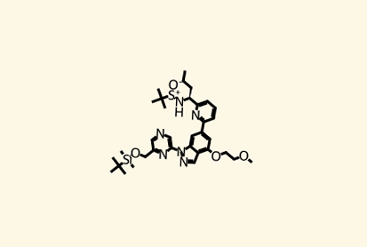 CCC[C@H](N[S+]([O-])C(C)(C)C)c1cccc(-c2cc(OCCOC)c3cnn(-c4cncc(CO[Si](C)(C)C(C)(C)C)n4)c3c2)n1